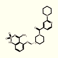 NC1=NS(=O)(=O)Nc2cccc(OC[C@H]3CCCN(C(=O)c4ccnc(N5CCCCC5)c4)C3)c21